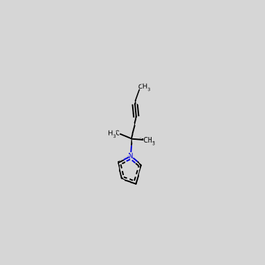 CC#CC(C)(C)n1cccc1